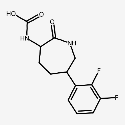 O=C(O)NC1CCC(c2cccc(F)c2F)CNC1=O